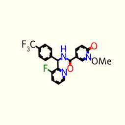 COn1cc(C(=O)NC(c2ccc(C(F)(F)F)cc2)c2ncccc2F)ccc1=O